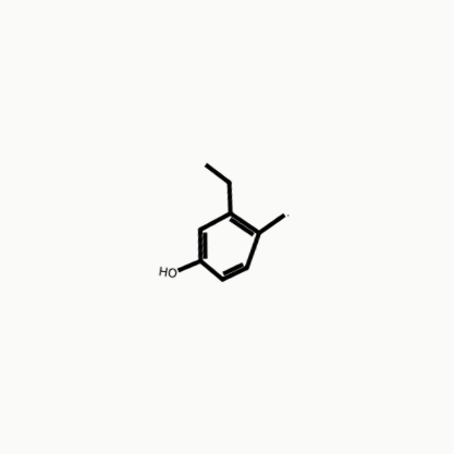 [CH2]c1ccc(O)cc1CC